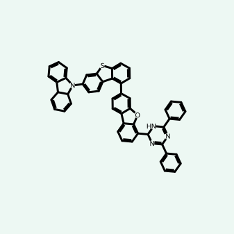 C1=CC2c3ccccc3N(c3ccc4c(c3)sc3cccc(-c5ccc6c(c5)oc5c(C7N=C(c8ccccc8)N=C(c8ccccc8)N7)cccc56)c34)C2C=C1